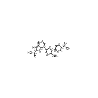 Nc1ncc(-c2ccnc3[nH]c(C(=O)O)cc23)cc1-c1ccc(C(=O)O)cn1